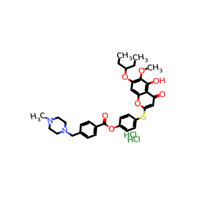 CCC(CC)Oc1cc2oc(Sc3ccc(OC(=O)c4ccc(CN5CCN(C)CC5)cc4)cc3)cc(=O)c2c(O)c1OC.Cl.Cl